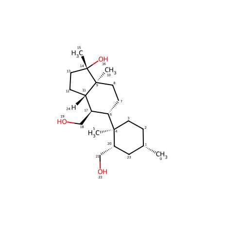 C[C@H]1CC[C@](C)([C@H]2CC[C@@]3(C)[C@@H](CC[C@]3(C)O)[C@@H]2CO)[C@@H](CO)C1